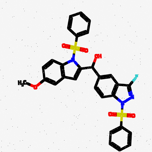 COc1ccc2c(c1)cc(C(O)c1ccc3c(c1)c(F)nn3S(=O)(=O)c1ccccc1)n2S(=O)(=O)c1ccccc1